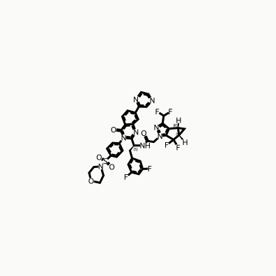 O=C(Cn1nc(C(F)F)c2c1C(F)(F)[C@H]1C[C@@H]21)N[C@@H](Cc1cc(F)cc(F)c1)c1nc2cc(-c3cnccn3)ccc2c(=O)n1-c1ccc(S(=O)(=O)N2CCOCC2)cc1